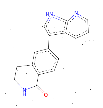 O=C1NCCc2cc(-c3c[nH]c4ncccc34)ccc21